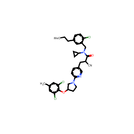 COCCc1ccc(Cl)c(CN(C(=O)C(C#N)Cc2ccc(N3CCC(Oc4c(Cl)cc(C)cc4Cl)C3)nc2)C2CC2)c1